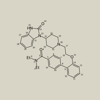 CCN(CC)C(=O)c1ccc(-c2ccccc2OCCN2CCC(n3c(=O)[nH]c4ccccc43)CC2)cc1